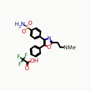 CNCCc1nc(-c2ccc(S(N)(=O)=O)cc2)c(-c2ccccc2)o1.O=C(O)C(F)(F)F